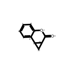 O=C1Oc2ccccc2[C]2CC21